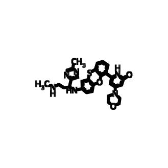 CNCCC(Nc1ccc2c(c1)Sc1cccc(-c3cc(N4CCOCC4)cc(=O)[nH]3)c1O2)c1cnc(C)cn1